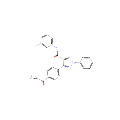 O=C(Nc1cccc(F)c1)c1cn(-c2ccccc2)nc1-c1ccc(C(=O)C2CO2)cc1